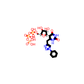 O=c1[nH]c(Cc2cn(-c3ccccc3)nn2)c([C@@H]2O[C@H](COP(=O)(O)OP(=O)(O)OP(=O)(O)O)C(O)[C@@H]2O)c(=O)[nH]1